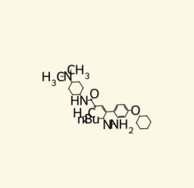 C=C(/C=C(\C(CCCC)=N/N)c1ccc(OC2CCCCC2)cc1)C(=O)N[C@H]1CC[C@@H](N(C)C)CC1